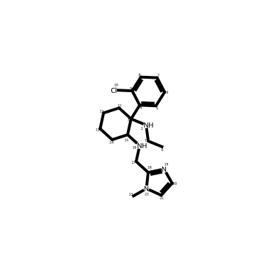 CCNC1(c2ccccc2Cl)CCCCC1NCc1nccn1C